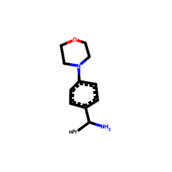 CCCC(N)c1ccc(N2CCOCC2)cc1